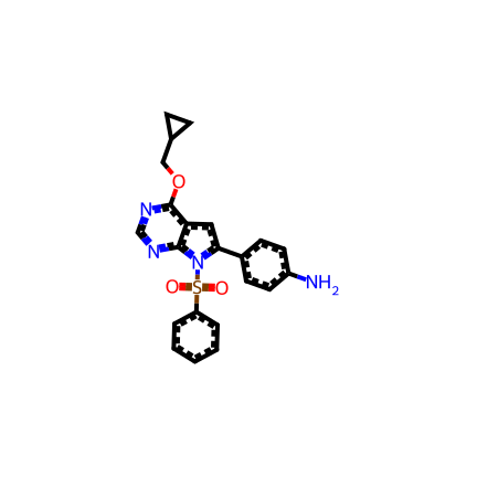 Nc1ccc(-c2cc3c(OCC4CC4)ncnc3n2S(=O)(=O)c2ccccc2)cc1